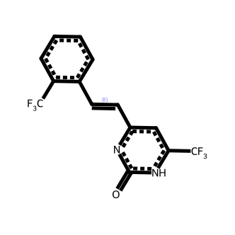 O=c1nc(/C=C/c2ccccc2C(F)(F)F)cc(C(F)(F)F)[nH]1